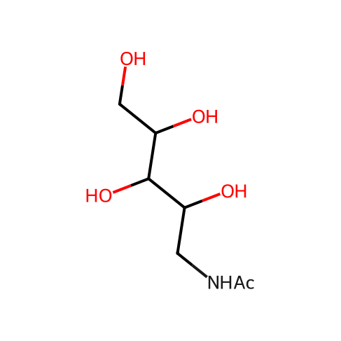 CC(=O)NCC(O)C(O)C(O)CO